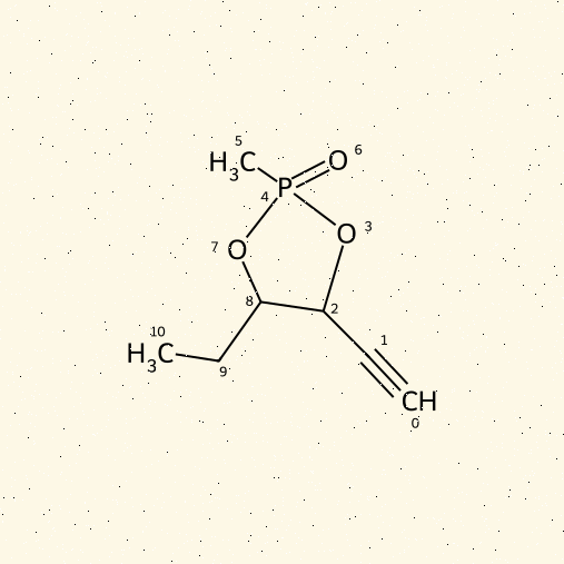 C#CC1OP(C)(=O)OC1CC